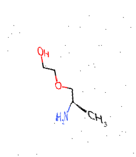 C[C@@H](N)COCCO